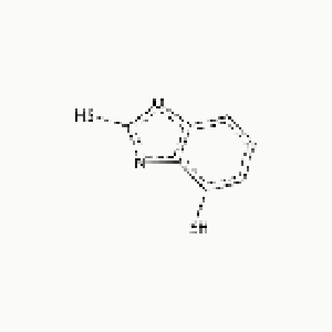 Sc1nc2c(S)cccc2o1